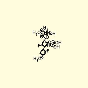 COc1ccc(-c2cc(=O)n(CCC(C)(C(=O)NO)S(C)(=O)=O)cc2F)c(F)c1.O=P(O)(O)O